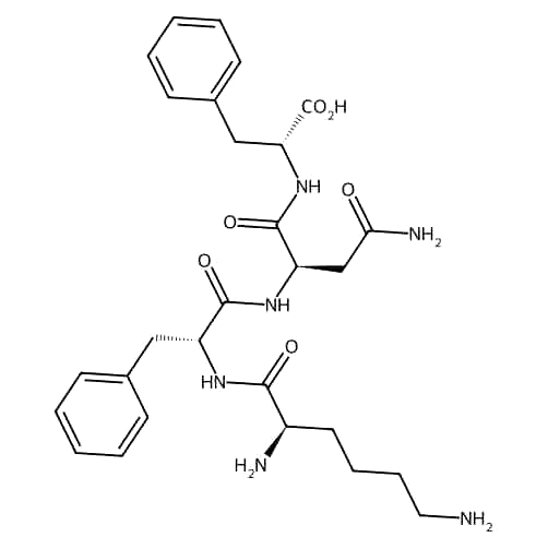 NCCCC[C@@H](N)C(=O)N[C@H](Cc1ccccc1)C(=O)N[C@H](CC(N)=O)C(=O)N[C@H](Cc1ccccc1)C(=O)O